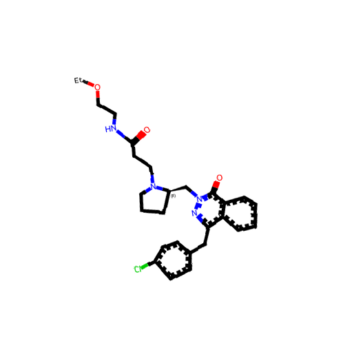 CCOCCNC(=O)CCN1CCC[C@@H]1Cn1nc(Cc2ccc(Cl)cc2)c2ccccc2c1=O